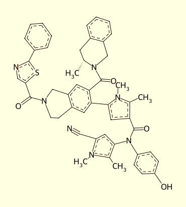 Cc1c(N(C(=O)c2cc(-c3cc4c(cc3C(=O)N3Cc5ccccc5C[C@H]3C)CN(C(=O)c3cnc(-c5ccccc5)s3)CC4)n(C)c2C)c2ccc(O)cc2)cc(C#N)n1C